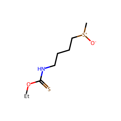 CCOC(=S)NCCCC[S+](C)[O-]